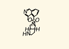 Cc1cncc2cccc(S(=O)(=O)N3C[C@@H]4CCN[C@@H]4C3)c12